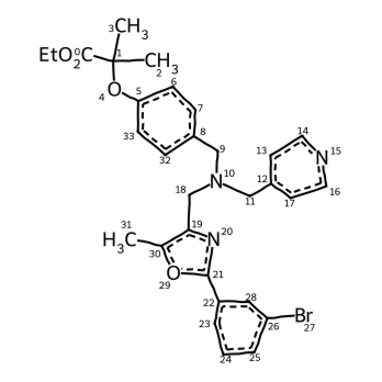 CCOC(=O)C(C)(C)Oc1ccc(CN(Cc2ccncc2)Cc2nc(-c3cccc(Br)c3)oc2C)cc1